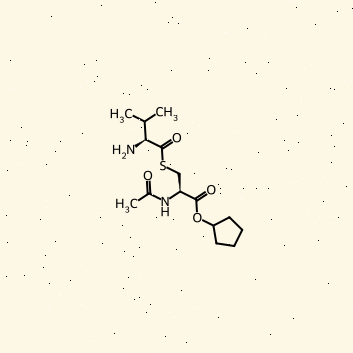 CC(=O)N[C@@H](CSC(=O)[C@@H](N)C(C)C)C(=O)OC1CCCC1